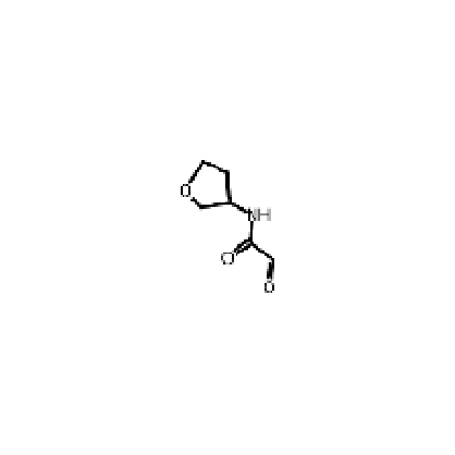 O=CC(=O)NC1CCOC1